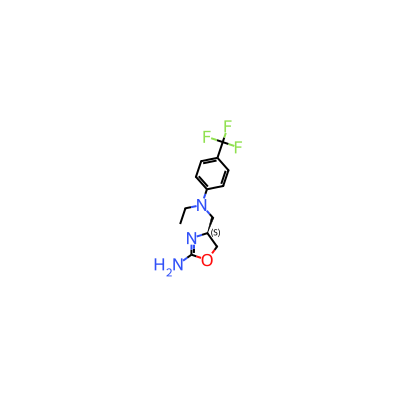 CCN(C[C@H]1COC(N)=N1)c1ccc(C(F)(F)F)cc1